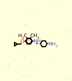 Cc1c(NC[C@H]2CC[C@H](N)CC2)ccc(OCC2CC2)c1C